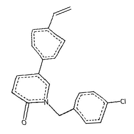 C=Cc1ccc(-c2ccc(=O)n(Cc3ccc(Cl)cc3)c2)cc1